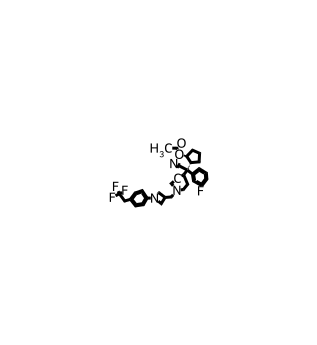 CC(=O)O[C@H]1CCC[C@@H]1C(C#N)(c1cccc(F)c1)C1CCN(CC2CN(c3ccc(CC(F)(F)F)cc3)C2)CC1